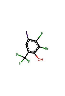 Oc1c(C(F)(F)F)cc(I)c(F)c1Br